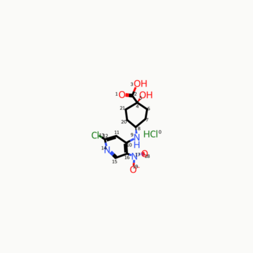 Cl.O=C(O)[C@]1(O)CC[C@@H](Nc2cc(Cl)ncc2[N+](=O)[O-])CC1